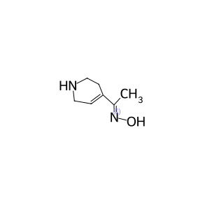 C/C(=N\O)C1=CCNCC1